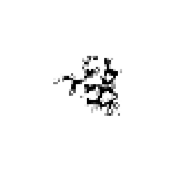 CC[C@@]1(C)C[C@H]2CSC(N(C(=O)OC(C)(C)C)C(=O)OC(C)(C)C)=N[C@@]2(c2nc(Br)cs2)CO1